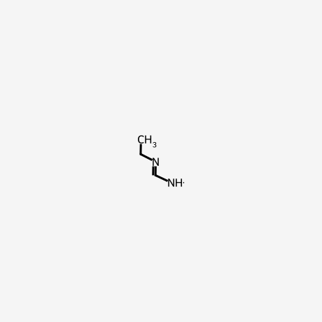 CC/N=C/[NH]